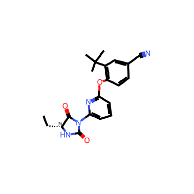 CC[C@H]1NC(=O)N(c2cccc(Oc3ccc(C#N)cc3C(C)(C)C)n2)C1=O